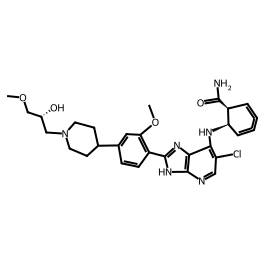 COC[C@H](O)CN1CCC(c2ccc(-c3nc4c(N[C@@H]5C=C=C=C[C@@H]5C(N)=O)c(Cl)cnc4[nH]3)c(OC)c2)CC1